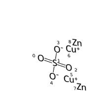 O=S(=O)([O-])[O-].[Cu+].[Cu+].[Zn].[Zn]